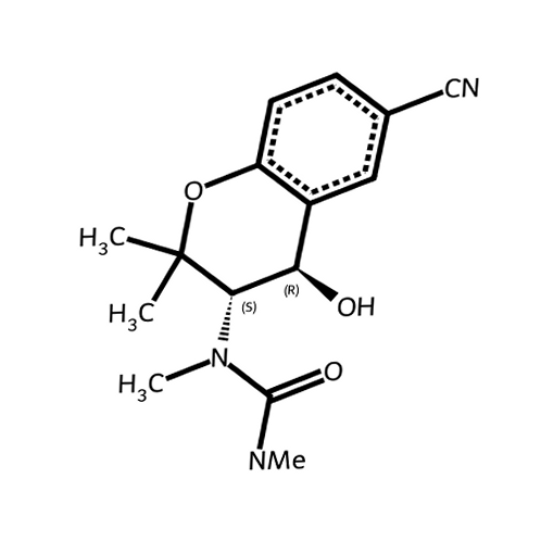 CNC(=O)N(C)[C@H]1[C@H](O)c2cc(C#N)ccc2OC1(C)C